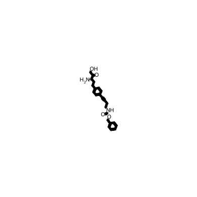 N[C@@H](CCc1ccc(C#CCCNC(=O)OCc2ccccc2)cc1)C(=O)CO